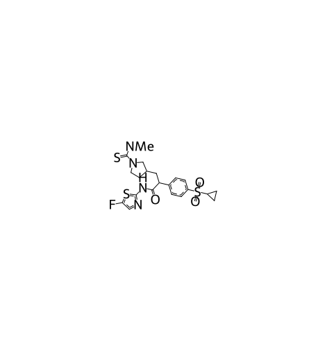 CNC(=S)N1CCC(CC(C(=O)Nc2ncc(F)s2)c2ccc(S(=O)(=O)C3CC3)cc2)C1